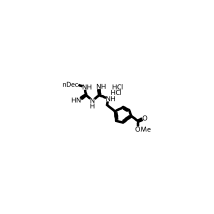 CCCCCCCCCCNC(=N)NC(=N)NCc1ccc(C(=O)OC)cc1.Cl.Cl